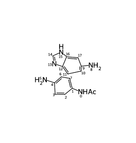 CC(=O)Nc1ccc(N)cc1.Nc1ccc2nc[nH]c2c1